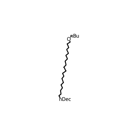 CCCCCCCCCCCCCCCCCCCCCCCCCCCCCCOCCCC